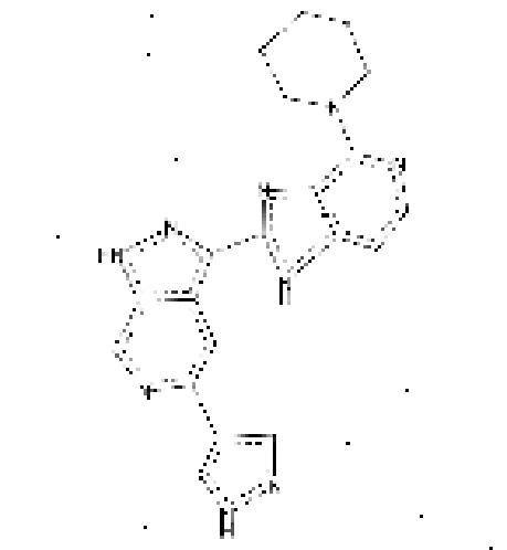 c1cc2[nH]c(-c3n[nH]c4cnc(-c5cn[nH]c5)cc34)nc2c(N2CCCCC2)n1